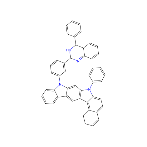 C1=CC2=NC(c3cccc(-n4c5ccccc5c5cc6c7c8c(ccc7n(-c7ccccc7)c6cc54)C=CCC8)c3)NC(c3ccccc3)C2C=C1